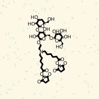 O=C(CCCCCN(CCCCCC(=O)ON1C(=O)CCC1=O)CCO[C@H]1O[C@H](CO[C@H]2O[C@H](CO)[C@@H](O)[C@H](O)[C@@H]2O)[C@@H](O)[C@H](O[C@H]2O[C@H](CO)C[C@H](O)[C@@H]2O)[C@@H]1O)ON1C(=O)CCC1=O